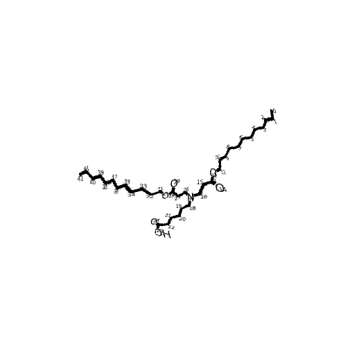 CCCCCCCCCCCCOC(=O)CCN(CCCCCC(=O)O)CCC(=O)OCCCCCCCCCCCC